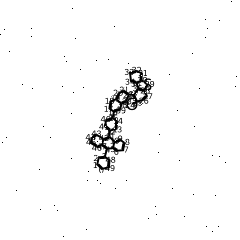 c1ccc(-c2c3ccccc3c(-c3ccc(-c4ccc5ccc6c(oc7ccc8sc9ccccc9c8c76)c5c4)cc3)c3ccccc23)cc1